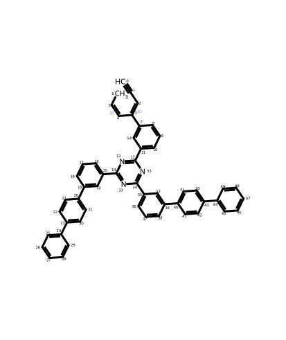 C#C/C=C(\C=C/C)c1cccc(-c2nc(-c3cccc(-c4ccc(-c5ccccc5)cc4)c3)nc(-c3cccc(-c4ccc(-c5ccccc5)cc4)c3)n2)c1